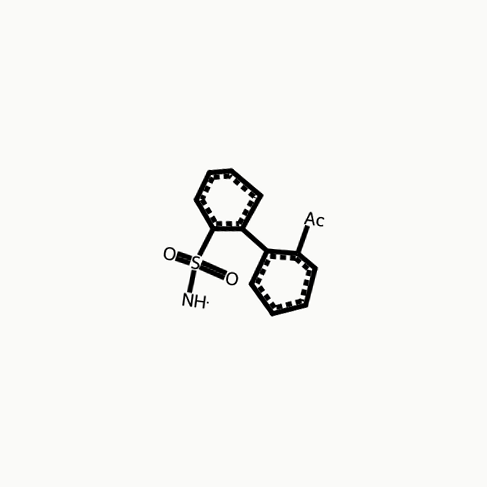 CC(=O)c1ccccc1-c1ccccc1S([NH])(=O)=O